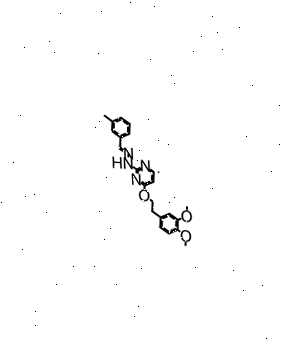 COc1ccc(CCOc2c[c]nc(NN=Cc3cccc(C)c3)n2)cc1OC